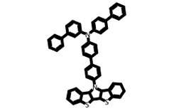 C1=C2SC3C4Sc5ccccc5C4N(c4ccc(-c5ccc(N(c6ccc(-c7ccccc7)cc6)c6cccc(-c7ccccc7)c6)cc5)cc4)C3C2=CCC1